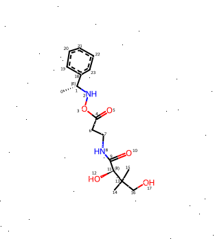 C[C@@H](NOC(=O)CCNC(=O)[C@H](O)C(C)(C)CO)c1ccccc1